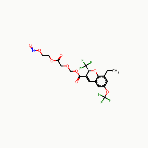 CCc1cc(OC(F)(F)F)cc2c1O[C@H](C(F)(F)F)C(C(=O)OCOCC(=O)OCCON=O)=C2